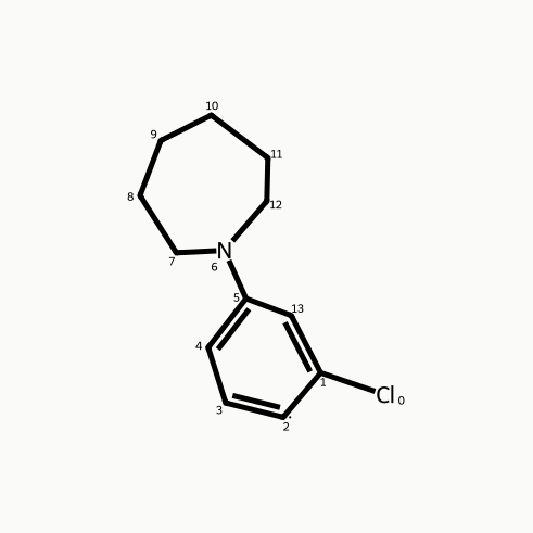 Clc1[c]ccc(N2CCCCCC2)c1